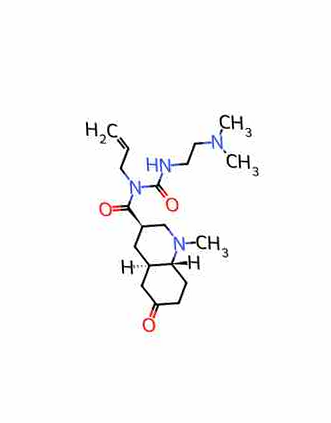 C=CCN(C(=O)NCCN(C)C)C(=O)[C@@H]1C[C@@H]2CC(=O)CC[C@H]2N(C)C1